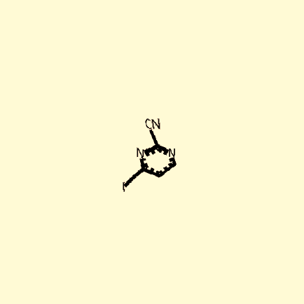 N#Cc1nccc(I)n1